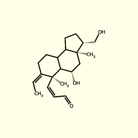 C/C=C1/CCC2C([C@@H](O)C[C@@]3(C)C2CC[C@@H]3CO)[C@@]1(C)/C=C\C=O